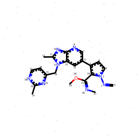 C=Nn1ccc(-c2cnc3nc(C)n(Cc4ccnc(C)n4)c3c2)c1/C(=N\C)OC